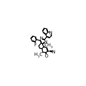 CC1C(=O)C(C#N)=C[C@@]2(C)c3nc(-c4ccnc5ccccc45)nc(-c4ccccc4F)c3CCC12